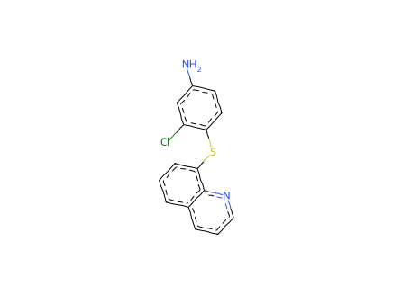 Nc1ccc(Sc2cccc3cccnc23)c(Cl)c1